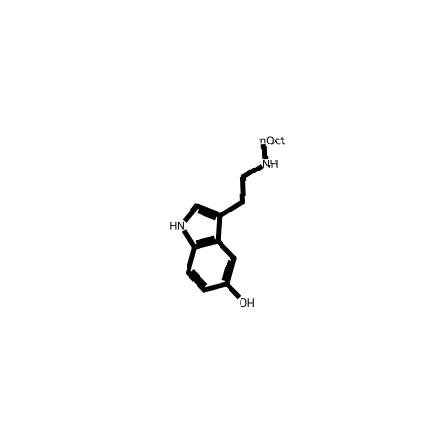 CCCCCCCCNCCc1c[nH]c2ccc(O)cc12